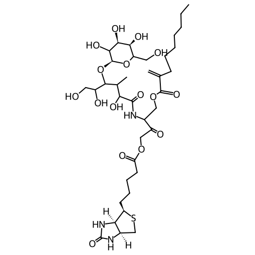 C=C(CCCCCCC)C(=O)OCC(NC(=O)C(O)C(C)C(O[C@@H]1OC(CO)[C@H](O)[C@H](O)C1O)C(O)CO)C(=O)COC(=O)CCCC[C@H]1SC[C@H]2NC(=O)N[C@H]21